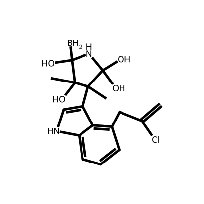 BC1(O)NC(O)(O)C(C)(c2c[nH]c3cccc(CC(=C)Cl)c23)C1(C)O